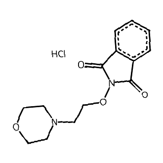 Cl.O=C1c2ccccc2C(=O)N1OCCN1CCOCC1